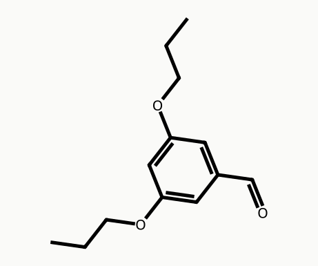 CCCOc1cc(C=O)cc(OCCC)c1